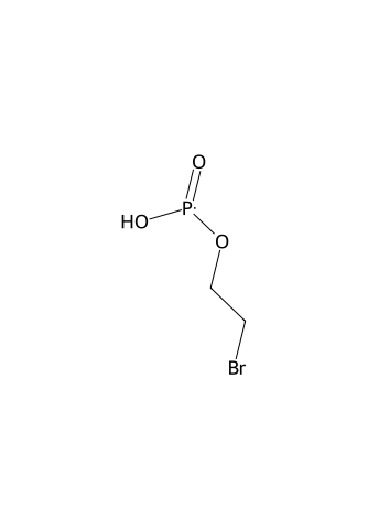 O=[P](O)OCCBr